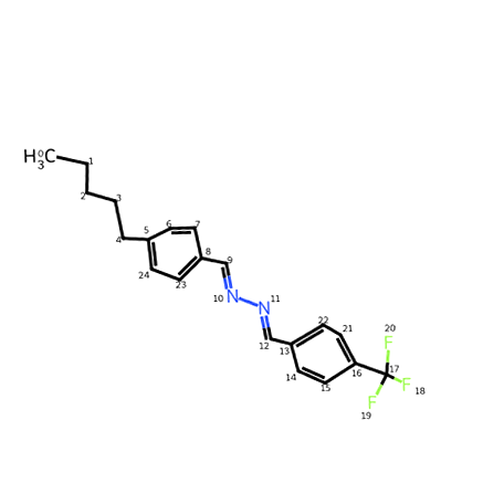 CCCCCc1ccc(C=NN=Cc2ccc(C(F)(F)F)cc2)cc1